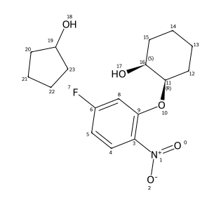 O=[N+]([O-])c1ccc(F)cc1O[C@@H]1CCCC[C@@H]1O.OC1CCCC1